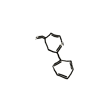 S=C1C=CN=C(c2ccccc2)C1